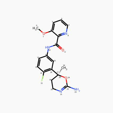 COc1cccnc1C(=O)Nc1ccc(F)c([C@]2(C)CCN=C(N)O2)c1